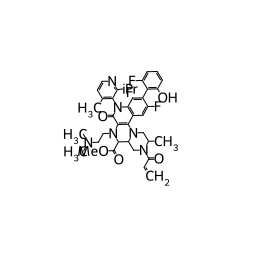 C=CC(=O)N1CC2C(C(=O)OC)N(CCN(C)C)c3c(c4cc(F)c(-c5c(O)cccc5F)c(F)c4n(-c4c(C)ccnc4C(C)C)c3=O)N2CC1C